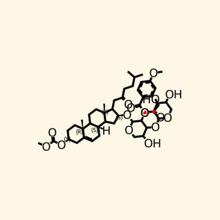 COC(=O)O[C@H]1CC[C@@]2(C)C(=CC[C@H]3C4C[C@H](OC5OCC(O)C(OC6OCC(O)C(O)C6OC(=O)c6ccc(OC)cc6)C5OC(C)=O)C(CC(=O)CCC(C)C)[C@@]4(C)CCC32)C1